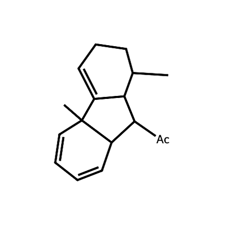 CC(=O)C1C2C(=CCCC2C)C2(C)C=CC=CC12